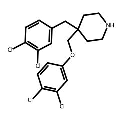 Clc1ccc(CC2(COc3ccc(Cl)c(Cl)c3)CCNCC2)cc1Cl